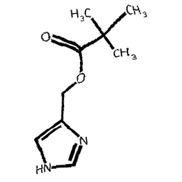 CC(C)(C)C(=O)OCc1c[nH]cn1